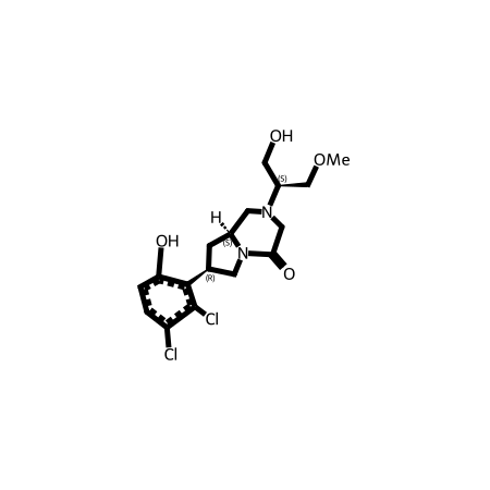 COC[C@H](CO)N1CC(=O)N2C[C@@H](c3c(O)ccc(Cl)c3Cl)C[C@H]2C1